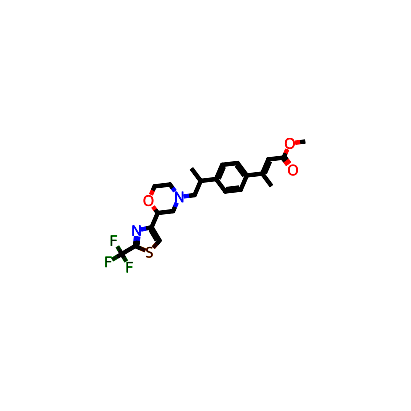 COC(=O)C=C(C)c1ccc(C(C)CN2CCOC(c3csc(C(F)(F)F)n3)C2)cc1